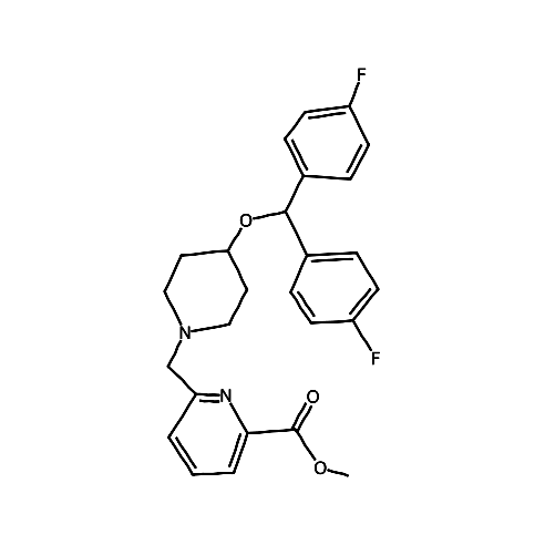 COC(=O)c1cccc(CN2CCC(OC(c3ccc(F)cc3)c3ccc(F)cc3)CC2)n1